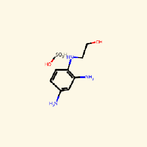 Nc1ccc(NCCO)c(N)c1.O=S(=O)(O)O